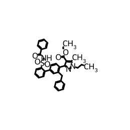 CCCn1nc(-c2ccc(-c3ccccc3S(=O)(=O)NC(=O)c3ccccc3)cc2Cc2ccccc2)c(C(=O)OCC)c1C